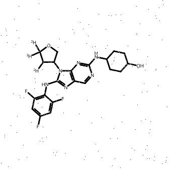 [2H]C1C(n2c(Nc3c(F)cc(F)cc3F)nc3cnc(NC4CCC(O)CC4)nc32)COC1([2H])[2H]